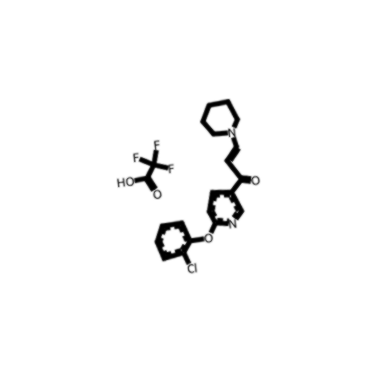 O=C(C=CN1CCCCC1)c1ccc(Oc2ccccc2Cl)nc1.O=C(O)C(F)(F)F